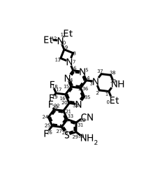 CCC1CN(c2nc(N3CC(N(CC)CC)C3)nc3c(C(F)F)c(-c4c(F)cc(F)c5sc(N)c(C#N)c45)ncc23)CCN1